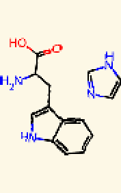 NC(Cc1c[nH]c2ccccc12)C(=O)O.c1c[nH]cn1